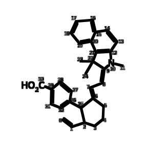 C=CC1CCC/C(=C\C=C2\N(C)c3ccc4ccccc4c3C2(C)C)C1c1ccc(C(=O)O)cc1